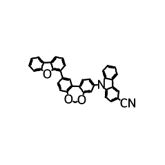 N#Cc1ccc2c(c1)c1ccccc1n2-c1ccc2c(c1)OCOc1ccc(-c3cccc4c3oc3ccccc34)cc1-2